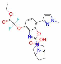 CCOC(=O)C(F)(F)Oc1ccc(-c2ccn(C)n2)c2oc(N3CC4CCC(C3)N4C(=O)O)nc12